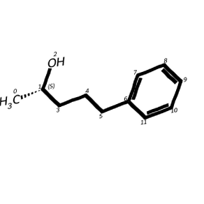 C[C@H](O)CCCc1ccccc1